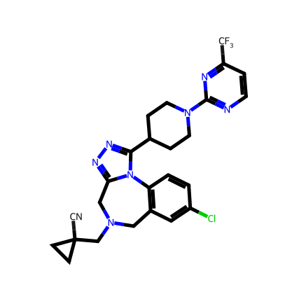 N#CC1(CN2Cc3cc(Cl)ccc3-n3c(nnc3C3CCN(c4nccc(C(F)(F)F)n4)CC3)C2)CC1